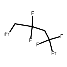 CCC(F)(F)CC(F)(F)CC(C)C